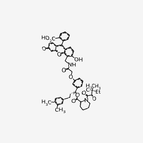 CCC(C)(C)C(=O)C(=O)N1CCCCC1C(=O)O[C@H](CCc1ccc(C)c(C)c1)c1cccc(OCC(=O)NCc2c(O)ccc3c(-c4ccccc4C(=O)O)c4ccc(=O)cc-4oc23)c1